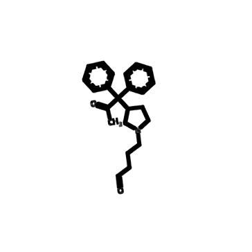 CC(=O)C(c1ccccc1)(c1ccccc1)C1CCN(CCCC=O)C1